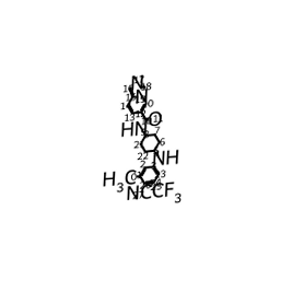 Cc1cc(N[C@H]2CC[C@@H](NC(=O)c3ccc4cncn4c3)CC2)cc(C(F)(F)F)c1C#N